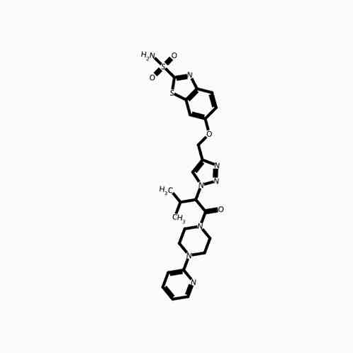 CC(C)C(C(=O)N1CCN(c2ccccn2)CC1)n1cc(COc2ccc3nc(S(N)(=O)=O)sc3c2)nn1